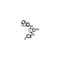 O=C(Nc1ccc(-c2ccccc2O)cc1)[C@H]1C[C@@H](O)CN1C(=O)Nc1ccc(Cl)cc1